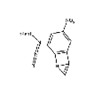 CCCCCN=[N+]=[N-].O=[N+]([O-])c1ccc2c(c1)c1cn2-1